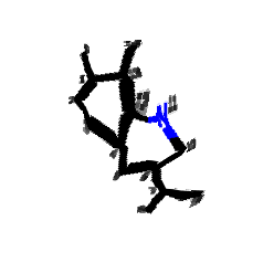 Cc1ccc2cc(C(C)C)cnc2c1C